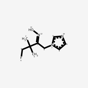 CC(C)(CF)C(Cn1ccnc1)=NO